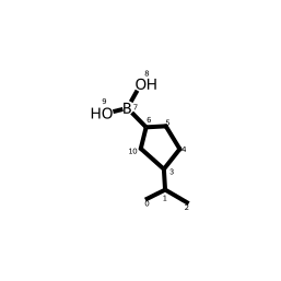 CC(C)C1CCC(B(O)O)C1